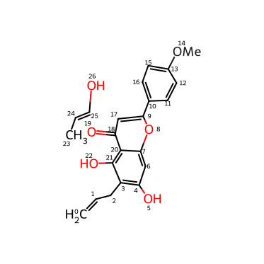 C=CCc1c(O)cc2oc(-c3ccc(OC)cc3)cc(=O)c2c1O.CC=CO